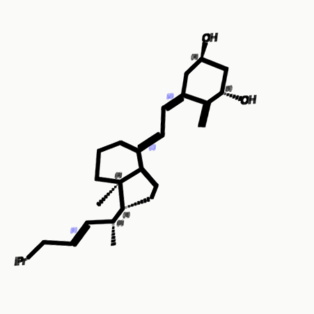 C=C1/C(=C\C=C2/CCC[C@@]3(C)C2CC[C@@H]3[C@H](C)/C=C/CC(C)C)C[C@@H](O)C[C@@H]1O